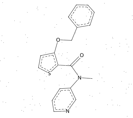 CN(C(=O)c1sccc1OCc1ccccc1)c1cccnc1